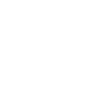 CC12C=CCCC1c1ccccc1[S+]2[O-]